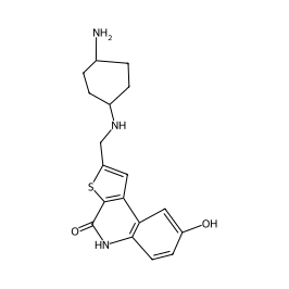 NC1CCC(NCc2cc3c(s2)c(=O)[nH]c2ccc(O)cc23)CC1